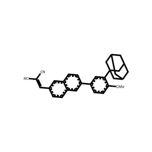 COc1ccc(-c2ccc3cc(C=C(C#N)C#N)ccc3c2)cc1C12CC3CC(CC(C3)C1)C2